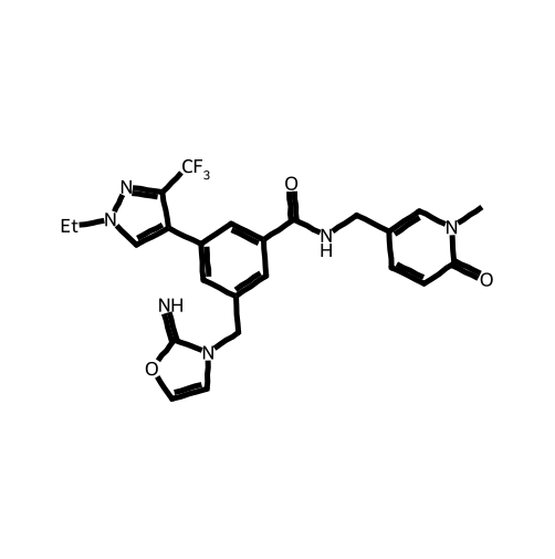 CCn1cc(-c2cc(Cn3ccoc3=N)cc(C(=O)NCc3ccc(=O)n(C)c3)c2)c(C(F)(F)F)n1